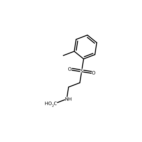 Cc1ccccc1S(=O)(=O)CCNC(=O)O